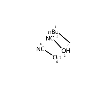 CCCCC.N#CO.N#CO